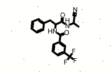 CC(C#N)NC(=O)C(Cc1ccccc1)NC(=O)c1cccc(C(F)(F)F)c1